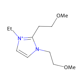 CC[n+]1ccn(CCOC)c1CCOC